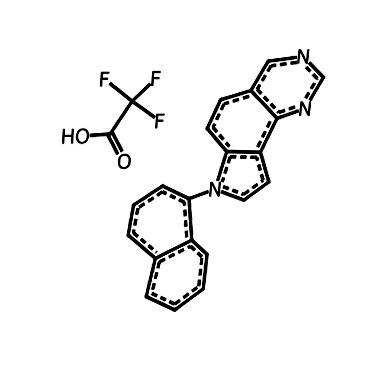 O=C(O)C(F)(F)F.c1ccc2c(-n3ccc4c5ncncc5ccc43)cccc2c1